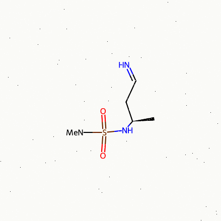 CNS(=O)(=O)N[C@H](C)CC=N